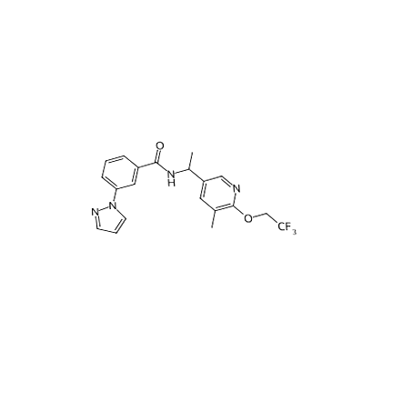 Cc1cc(C(C)NC(=O)c2cccc(-n3cccn3)c2)cnc1OCC(F)(F)F